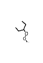 [CH2]OOC(CC)CC